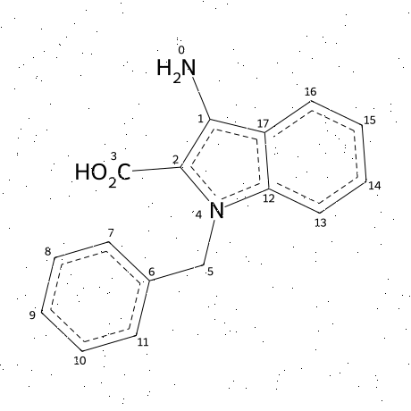 Nc1c(C(=O)O)n(Cc2ccccc2)c2ccccc12